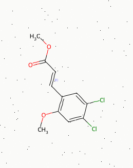 COC(=O)/C=C/c1cc(Cl)c(Cl)cc1OC